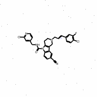 N#Cc1ccc2c(c1)c1c(n2C(=O)NCc2ccnc(Cl)c2)CCN(C/C=C/c2ccc(Cl)c(F)c2)C1